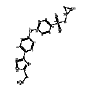 NCc1nc(-c2ccc(Oc3ccc(S(=O)(=O)CC4CS4)cc3)cc2)no1